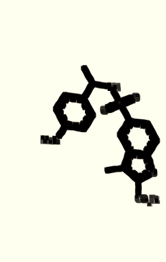 CCOC(=O)c1oc2ccc(S(=O)(=O)NC(C)c3ccc(NC)cc3)cc2c1C